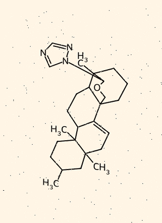 CC1CCC2(C)C3CCC4C5(CCCC4(C)C(n4cncn4)OC5)C3=CCC2(C)C1